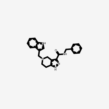 O=C(NCc1ccccc1)c1n[nH]c2c1CN(Cc1c[nH]c3ccccc13)CC2